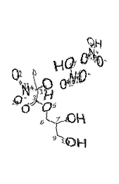 CC(O)(C(=O)OCC(O)CO)[N+](=O)[O-].O=[N+]([O-])O.O=[N+]([O-])O